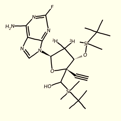 [2H]C1([2H])[C@H](n2cnc3c(N)nc(F)nc32)O[C@@](C#C)(C(O)[Si](C)(C)C(C)(C)C)[C@H]1O[Si](C)(C)C(C)(C)C